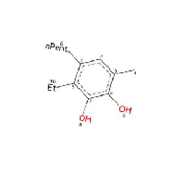 CCCCCc1cc(C)c(O)c(O)c1CC